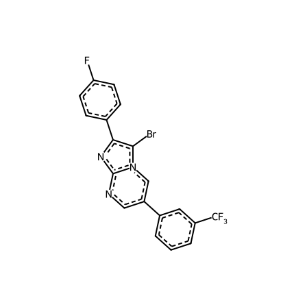 Fc1ccc(-c2nc3ncc(-c4cccc(C(F)(F)F)c4)cn3c2Br)cc1